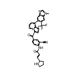 Cn1cnc2cc(-c3cccn4c(C(=O)c5ccc(NC(=O)/C=C/C6CCCN6)c(C#N)c5)ccc34)c(C(F)(F)F)cc21